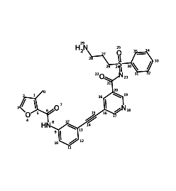 Cc1ccoc1C(=O)Nc1cccc(C#Cc2cncc(C(=O)N=S(=O)(CCCN)c3ccccc3)c2)c1